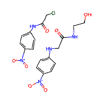 O=C(CCl)Nc1ccc([N+](=O)[O-])cc1.O=C(CNc1ccc([N+](=O)[O-])cc1)NCCO